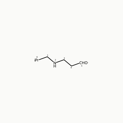 CC(C)CNCC[C]=O